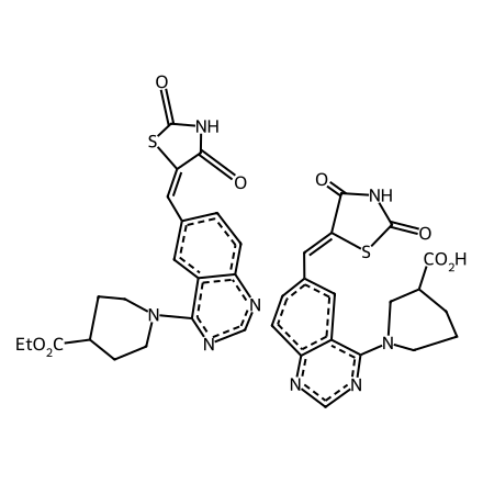 CCOC(=O)C1CCN(c2ncnc3ccc(C=C4SC(=O)NC4=O)cc23)CC1.O=C1NC(=O)C(=Cc2ccc3ncnc(N4CCCC(C(=O)O)C4)c3c2)S1